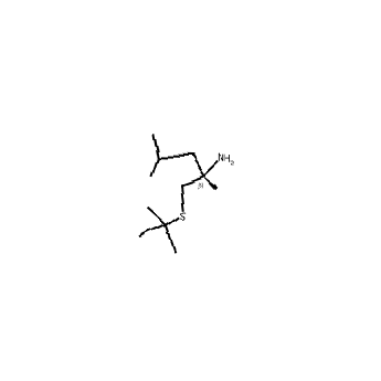 CC(C)C[C@](C)(N)CSC(C)(C)C